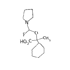 CC(OC(F)N1CCCC1)(C(=O)O)C1CCCCC1